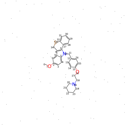 COc1ccc2c(c1)c1c(n2Cc2ccc(OCCN3CCCCC3)cc2)-c2ccccc2SC1